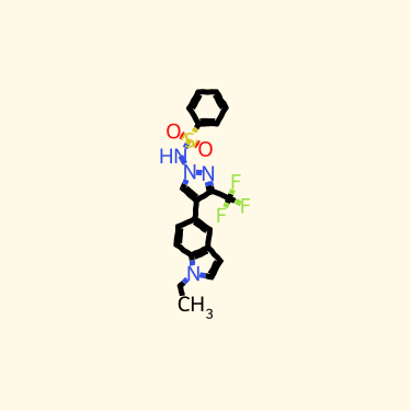 CCn1ccc2cc(-c3cn(NS(=O)(=O)c4ccccc4)nc3C(F)(F)F)ccc21